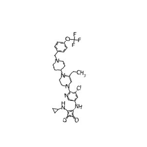 CCC1CN(c2ncc(Nc3c(NC4CC4)c(=O)c3=O)cc2Cl)CCN1C1CCN(Cc2ccc(OC(F)(F)F)cc2)CC1